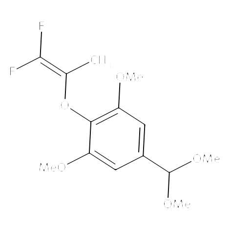 COc1cc(C(OC)OC)cc(OC)c1OC(C)=C(F)F